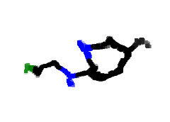 O=[N+]([O-])c1ccc(NCCF)nc1